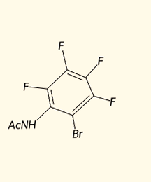 CC(=O)Nc1c(F)c(F)c(F)c(F)c1Br